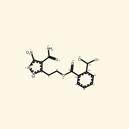 NC(=O)c1c([N+](=O)[O-])n[nH]c1CCOC(=O)c1ccccc1C(Cl)Cl